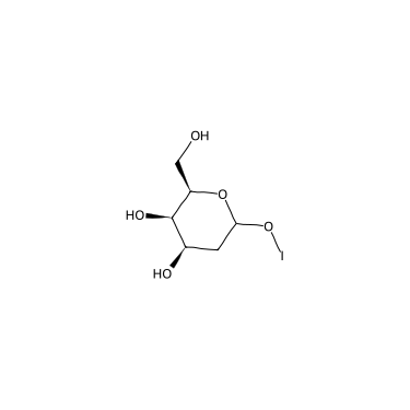 OC[C@H]1OC(OI)C[C@@H](O)[C@H]1O